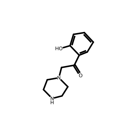 O=C(CN1CCNCC1)c1ccccc1O